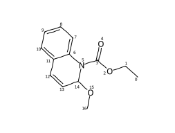 CCOC(=O)N1c2ccccc2C=CC1OC